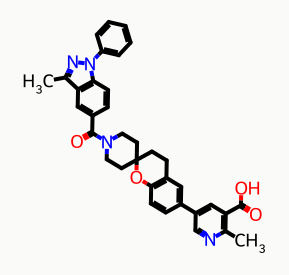 Cc1ncc(-c2ccc3c(c2)CCC2(CCN(C(=O)c4ccc5c(c4)c(C)nn5-c4ccccc4)CC2)O3)cc1C(=O)O